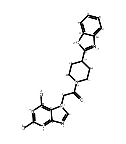 O=C(Cn1cnc2nc(Cl)nc(Cl)c21)N1CCC(c2nc3ccccc3o2)CC1